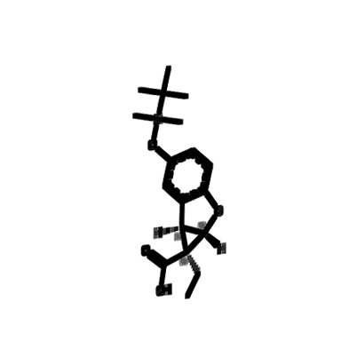 CC[C@@]1(C(=O)O)[C@H]2Oc3ccc(O[Si](C)(C)C(C)(C)C)cc3[C@@H]21